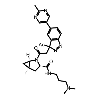 CC(=O)C1(CC(=O)N2[C@H](C(=O)NCCCN(C)C)C[C@@]3(C)C[C@@H]23)N=Nc2ccc(-c3cnc(C)nc3)cc21